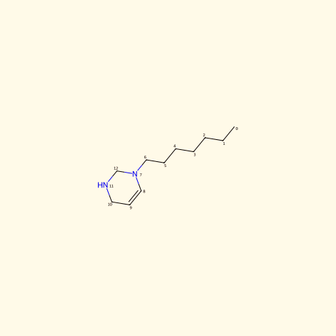 CCCCCCCN1C=CCNC1